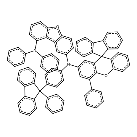 c1ccc(-c2cc(N(c3ccc(C4(c5ccccc5)c5ccccc5-c5ccccc54)cc3)c3ccc4oc5cccc(N(c6ccccc6)c6ccccc6)c5c4c3)cc3c2Oc2ccccc2C32c3ccccc3-c3ccccc32)cc1